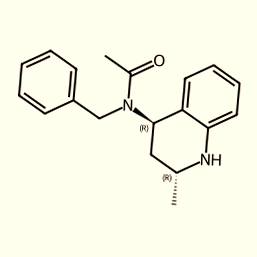 CC(=O)N(Cc1ccccc1)[C@@H]1C[C@@H](C)Nc2ccccc21